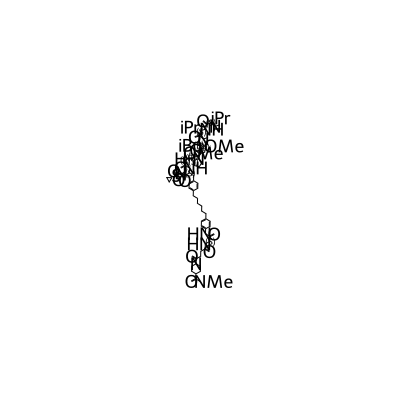 CC[C@H](C)[C@@H]([C@@H](CC(=O)N1CCC[C@H]1[C@H](OC)[C@@H](C)C(=O)N[C@@H](Cc1ccc(CCCCCCc2ccc(NC(=O)[C@H](C)NC(=O)CCC(=O)N3CCC(C(=O)NC)CC3)cc2)cc1)C(=O)NS(=O)(=O)C1CC1)OC)N(C)C(=O)[C@@H](NC(=O)[C@H](C(C)C)N(C)C)C(C)C